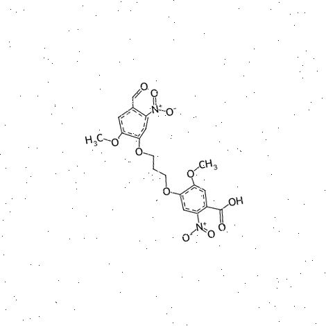 COc1cc(C=O)c([N+](=O)[O-])cc1OCCCOc1cc([N+](=O)[O-])c(C(=O)O)cc1OC